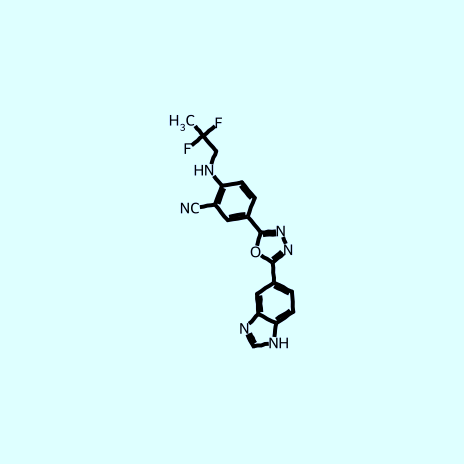 CC(F)(F)CNc1ccc(-c2nnc(-c3ccc4[nH]cnc4c3)o2)cc1C#N